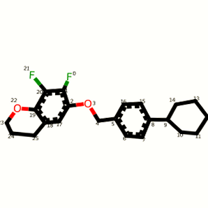 Fc1c(OCc2ccc(C3CCCCC3)cc2)cc2c(c1F)OCCC2